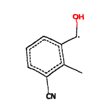 Cc1c(C#N)cccc1[CH]O